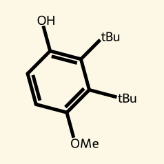 COc1ccc(O)c(C(C)(C)C)c1C(C)(C)C